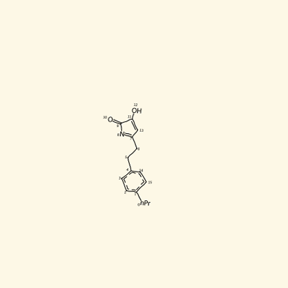 CCCc1ccc(CCC2=NC(=O)C(O)=C2)cc1